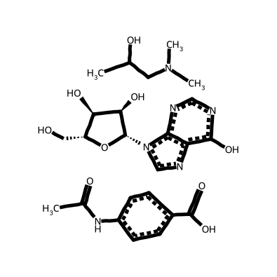 CC(=O)Nc1ccc(C(=O)O)cc1.CC(O)CN(C)C.OC[C@H]1O[C@@H](n2cnc3c(O)ncnc32)[C@H](O)[C@@H]1O